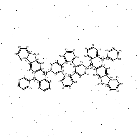 c1ccc(N2c3ccccc3N(c3ccc4c(c3)-c3ccccc3-c3ccc(N5c6ccccc6N(c6ccccc6)c6cc7c(cc65)sc5ccccc57)cc3-c3ccccc3-4)c3cc4sc5ccccc5c4cc32)cc1